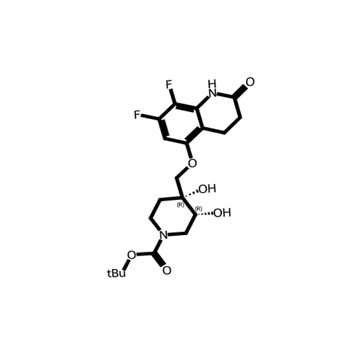 CC(C)(C)OC(=O)N1CC[C@@](O)(COc2cc(F)c(F)c3c2CCC(=O)N3)[C@H](O)C1